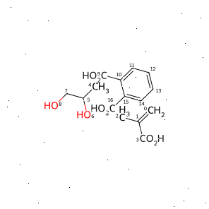 C=C(C)C(=O)O.CC(O)CO.O=C(O)c1ccccc1C(=O)O